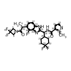 C[C@H](C(=O)N1CC(F)(F)C1)c1ccc2[nH]c([C@@H](NC(=O)c3ccnn3C)C3CCC(F)(F)CC3)nc2c1F